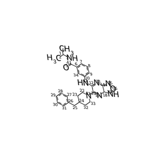 CC(C)NC(=O)c1cccc(NC2=NC3=NONC3N=C2N2CCC(Cc3ccccc3)CC2)c1